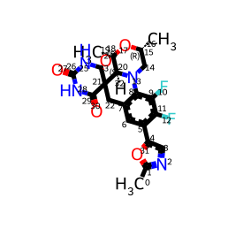 Cc1ncc(-c2cc3c(c(F)c2F)N2C[C@@H](C)O[C@@H](C)[C@@H]2C2(C3)C(=O)NC(=O)NC2=O)o1